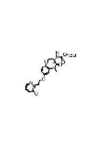 CN1C(=O)[C@@H](NC(=O)OC(C)(C)C)COc2ccc(OCCn3ncccc3=O)cc21